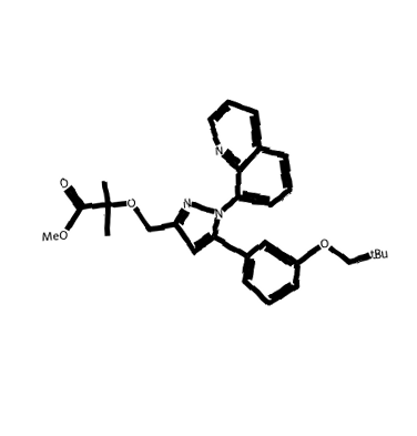 COC(=O)C(C)(C)OCc1cc(-c2cccc(OCC(C)(C)C)c2)n(-c2cccc3cccnc23)n1